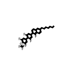 CCCCCCCc1ccc2c(F)c(-c3cc(F)c(-c4cc(F)c(OC(F)(F)F)c(F)c4)c(F)c3)ccc2c1